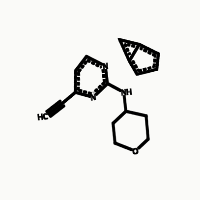 C#Cc1ccnc(NC2CCOCC2)n1.c1cc2cc-2c1